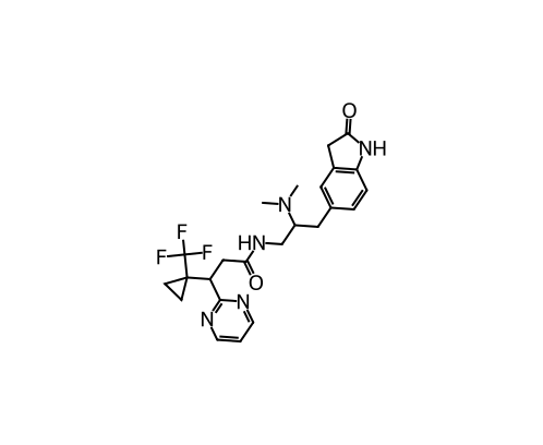 CN(C)C(CNC(=O)CC(c1ncccn1)C1(C(F)(F)F)CC1)Cc1ccc2c(c1)CC(=O)N2